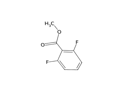 COC(=O)c1c(F)cccc1F